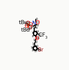 CC1=NC(CCc2ccc(OCCCc3cccc(Br)c3)c(C(F)(F)F)c2)(COP(=O)(OC(C)(C)C)OC(C)(C)C)CO1